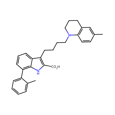 Cc1ccc2c(c1)CCCN2CCCCc1c(C(=O)O)[nH]c2c(-c3ccccc3C)cccc12